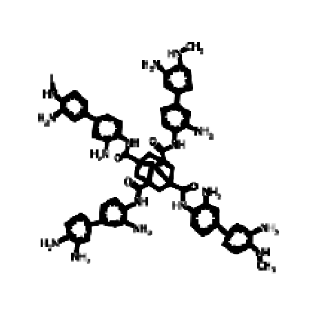 CNc1ccc(-c2ccc(NC(=O)C34CC5(C(=O)Nc6ccc(-c7ccc(N)c(N)c7)cc6N)CC(C(=O)Nc6ccc(-c7ccc(NC)c(N)c7)cc6N)(C3)CC(C(=O)Nc3ccc(-c6ccc(NI)c(N)c6)cc3N)(C5)C4)c(N)c2)cc1N